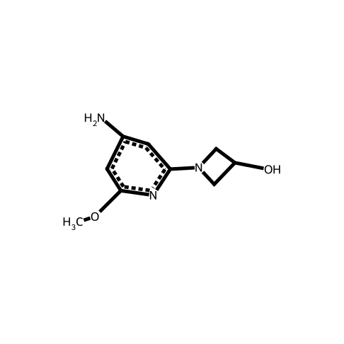 COc1cc(N)cc(N2CC(O)C2)n1